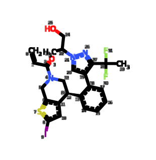 C=CC(=O)N1Cc2sc(I)cc2[C@H](c2ccccc2-c2cn(C(C)CO)nc2C(C)(F)F)C1